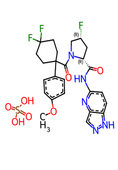 COc1ccc(C2(C(=O)N3C[C@H](F)C[C@@H]3C(=O)Nc3ccc4[nH]ncc4n3)CCC(F)(F)CC2)cc1.O=S(=O)(O)O